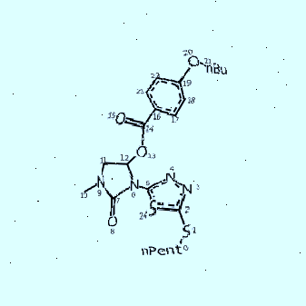 CCCCCSc1nnc(N2C(=O)N(C)CC2OC(=O)c2ccc(OCCCC)cc2)s1